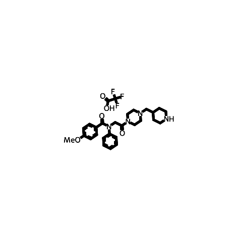 COc1ccc(C(=O)N(CC(=O)N2CCN(CC3CCNCC3)CC2)c2ccccc2)cc1.O=C(O)C(F)(F)F